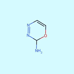 NC1N=NC=CO1